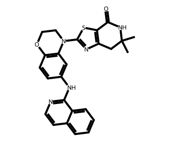 CC1(C)Cc2nc(N3CCOc4ccc(Nc5nccc6ccccc56)cc43)sc2C(=O)N1